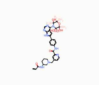 BC1(B)OC(B)(O)C(O)(O)N(c2ncnc3[nH]c(-c4ccc(NC(=O)c5cc(CN6CCCC(NC(=O)C=C)C6)ccn5)cc4)cc23)C1(B)O